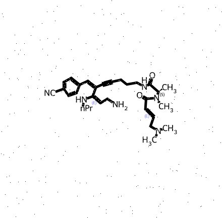 CCCN/C(=C/CN)C(C#CCCCNC(=O)[C@H](C)N(C)C(=O)/C=C/CN(C)C)=Cc1ccc(C#N)cc1